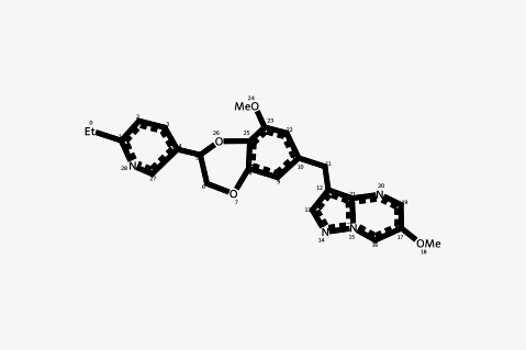 CCc1ccc(C2COc3cc(Cc4cnn5cc(OC)cnc45)cc(OC)c3O2)cn1